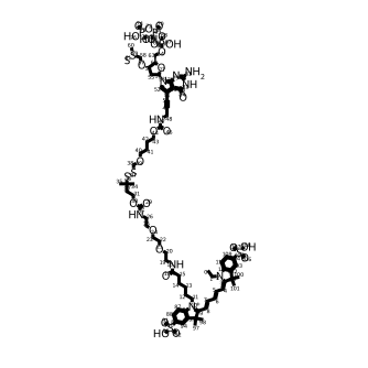 CCN1\C(=C/C=C/C=C/C2=[N+](CCCCCC(=O)NCCOCCOCCNC(=O)OCCC(C)(C)SSCOCCCCOC(=O)NCC#Cc3cn([C@H]4C[C@H](OCS(C)=S)[C@@H](COP(=O)(O)OP(=O)(O)OP(=O)(O)O)O4)c4nc(N)[nH]c(=O)c34)c3ccc(S(=O)(=O)O)cc3C2(C)C)C(C)(C)c2cc(S(=O)(=O)O)ccc21